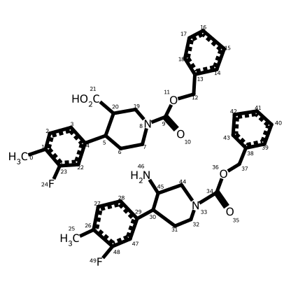 Cc1ccc(C2CCN(C(=O)OCc3ccccc3)CC2C(=O)O)cc1F.Cc1ccc(C2CCN(C(=O)OCc3ccccc3)CC2N)cc1F